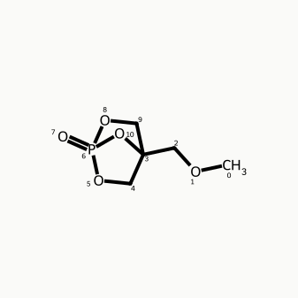 COCC12COP(=O)(OC1)O2